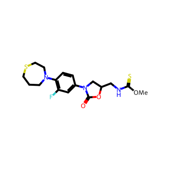 COC(=S)NCC1CN(c2ccc(N3CCCSCC3)c(F)c2)C(=O)O1